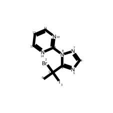 CC(Br)(I)c1ncnn1-c1ncccn1